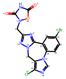 O=c1[nH]c(=O)n(Cc2nc3n(n2)Cc2c(Cl)ncn2-c2ccc(Br)cc2-3)o1